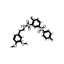 COc1ccc(CCNS(=O)(=O)c2cc(S(=O)(=O)c3ccc(F)cc3)ccc2C)cc1OC